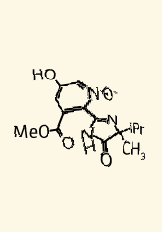 COC(=O)c1cc(O)c[n+]([O-])c1C1=NC(C)(C(C)C)C(=O)N1